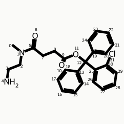 CN(CCN)C(=O)CCC(=O)OC(c1ccccc1)(c1ccccc1)c1ccccc1Cl